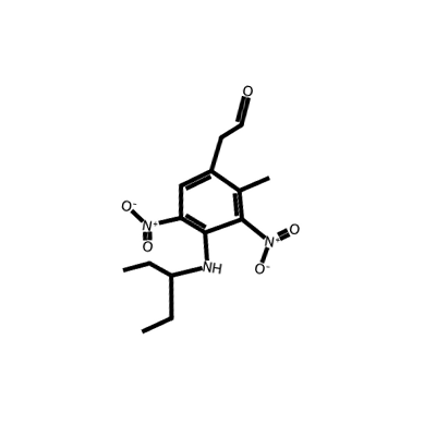 CCC(CC)Nc1c([N+](=O)[O-])cc(CC=O)c(C)c1[N+](=O)[O-]